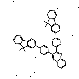 CC1(C)C2=C(C=CCC2)c2ccc(-c3ccc(-c4nc5ccccc5nc4-c4ccc(-c5ccc6c(c5)C(C)(C)c5ccccc5-6)cc4)cc3)cc21